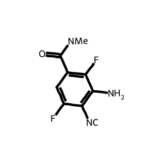 [C-]#[N+]c1c(F)cc(C(=O)NC)c(F)c1N